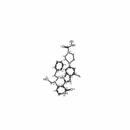 CCNC(=O)N1CCN(c2cc(C)c3nc(-c4c(N(CO)CCc5ccccc5)cc[nH]c4=O)[nH]c3c2)CC1